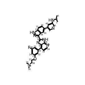 CC(C)Nc1cncc(-c2ccc3[nH]nc(-c4nc5c(-c6cc(F)cc(OCCN(C)C)c6)ccnc5[nH]4)c3c2)c1